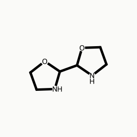 C1COC(C2NCCO2)N1